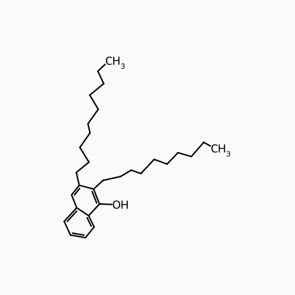 CCCCCCCCCCc1cc2ccccc2c(O)c1CCCCCCCCCC